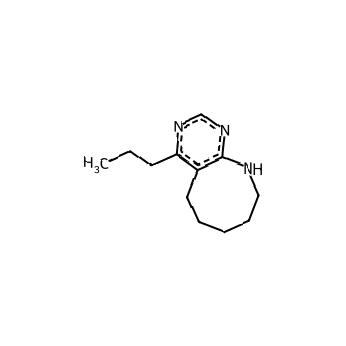 CCCc1ncnc2c1CCCCCN2